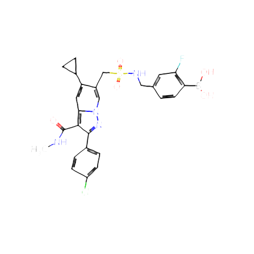 CNC(=O)c1c(-c2ccc(Cl)cc2)nn2cc(CS(=O)(=O)NCc3ccc(B(O)O)c(F)c3)c(C3CC3)cc12